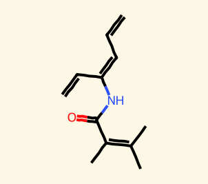 C=C/C=C(\C=C)NC(=O)C(C)=C(C)C